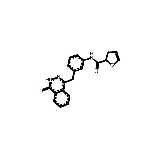 O=C(Nc1cccc(Cc2n[nH]c(=O)c3ccccc23)c1)C1CC=CS1